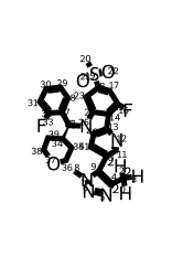 [2H]C([2H])([2H])c1nnn(C)c1-c1cnc2c3c(F)cc(S(C)(=O)=O)cc3n([C@H](c3ccccc3F)C3CCOCC3)c2c1